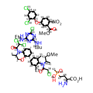 CC1COc2ccccc2N1C(=O)C(Cl)Cl.CCNc1nc(Cl)nc(NC(C)(C)C)n1.CCc1cccc(C)c1N(C(=O)CCl)C(C)COC.COC(=O)c1cc(Oc2ccc(Cl)cc2Cl)ccc1[N+](=O)[O-].CP(=O)(O)CCC(N)C(=O)O